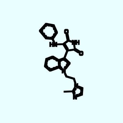 Cc1nccn1CCn1cc(C2=C(Nc3ccccc3)C(=O)NC2=O)c2ccccc21